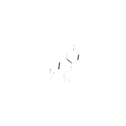 C=C(C(CC1=CCC(C)C=C1)C(C)C)N(C)C